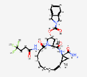 NC(=O)[C@@]12C[C@H]1/C=C\CCCCC[C@H](NC(=O)CCC(F)(F)F)C(=O)N1C[C@H](OC(=O)N3Cc4ccccc4C3)C[C@H]1C(=O)N2